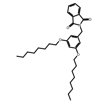 CCCCCCCCOc1cc(CN2C(=O)c3ccccc3C2=O)cc(OCCCCCCCC)c1